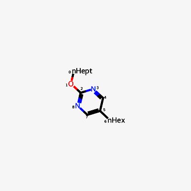 CCCCCCCOc1ncc(CCCCCC)cn1